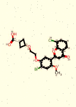 COc1cc(Br)c(OCCO[C@H]2C[C@@H](C(=O)O)C2)cc1-c1cc(=O)c2cccc(Cl)c2o1